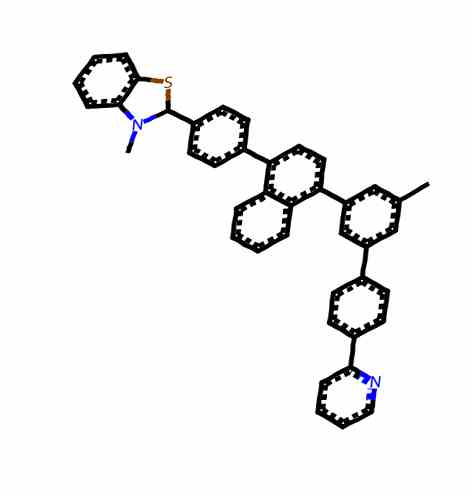 Cc1cc(-c2ccc(-c3ccccn3)cc2)cc(-c2ccc(-c3ccc(C4Sc5ccccc5N4C)cc3)c3ccccc23)c1